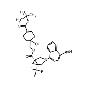 CC(C)(C)OC(=O)N1CCC(O)(COC(=O)[C@]23CN(c4ccc(C#N)c5ncccc45)C[C@@]2(C(F)(F)F)C3)CC1